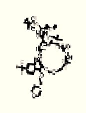 C=C[C@@H]1C[C@]1(NC(=O)[C@@H]1C[C@@H]2CN1C(=O)[C@H](C(C)(C)C)NC(=O)O[C@@H]1C[C@H]1CCCCCc1c(nc3cc(C(F)(F)F)ccc3c1OCCN1CCOCC1)O2)C(=O)NS(=O)(=O)C1(C)CC1